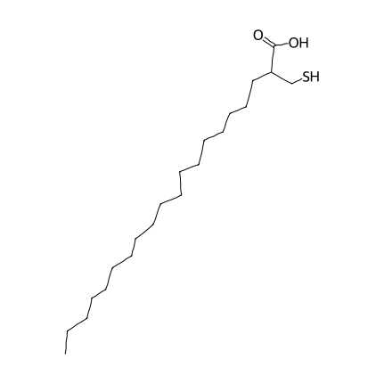 CCCCCCCCCCCCCCCCCCC(CS)C(=O)O